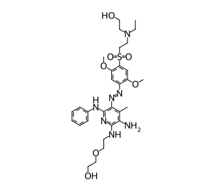 CCN(CCO)CCS(=O)(=O)c1cc(OC)c(/N=N/c2c(Nc3ccccc3)nc(NCCOCCO)c(N)c2C)cc1OC